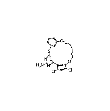 Nc1nc2cc(n1)-c1cc(c(Cl)cc1Cl)OCCCCCOc1cccc(c1)S2